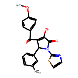 CCCOc1ccc(C(=O)C2=C(O)C(=O)N(c3nccs3)C2c2cccc([N+](=O)[O-])c2)cc1